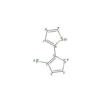 Fc1ccsc1-c1cccs1